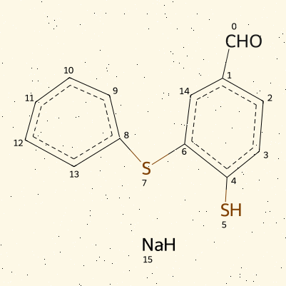 O=Cc1ccc(S)c(Sc2ccccc2)c1.[NaH]